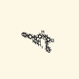 Nc1ncnc2c1c(-c1ccc(Nc3nc4cc(Cl)cc(OCCN5CCOCC5)c4o3)cc1)nn2C1CCC(N2CCOCC2)CC1